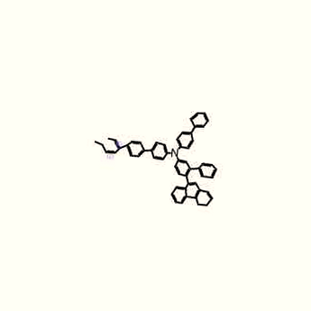 C/C=C(\C=C/CC)c1ccc(-c2ccc(N(c3ccc(-c4ccccc4)cc3)c3ccc(-c4cc5c(c6ccccc46)CCC=C5)c(-c4ccccc4)c3)cc2)cc1